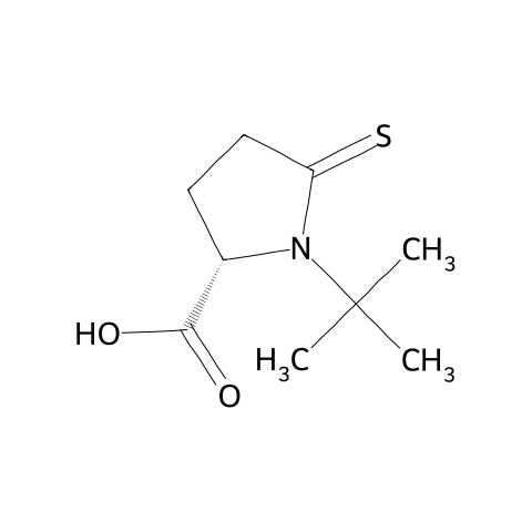 CC(C)(C)N1C(=S)CC[C@H]1C(=O)O